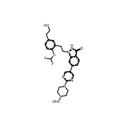 O=CN1CCN(c2ncc(-c3ccc4c(=O)[nH]n(CCc5cc(CCO)ccc5OC(F)F)c4c3)cn2)CC1